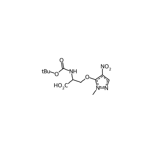 Cn1ncc([N+](=O)[O-])c1OCC(NC(=O)OC(C)(C)C)C(=O)O